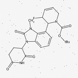 Cn1c(=O)n(C2CCC(=O)NC2=O)c2cccc(C3C(F)C=CCN3C(=O)OC(C)(C)C)c21